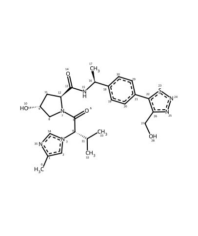 Cc1cn([C@H](C(=O)N2C[C@H](O)C[C@H]2C(=O)N[C@@H](C)c2ccc(-c3snnc3CO)cc2)C(C)C)cn1